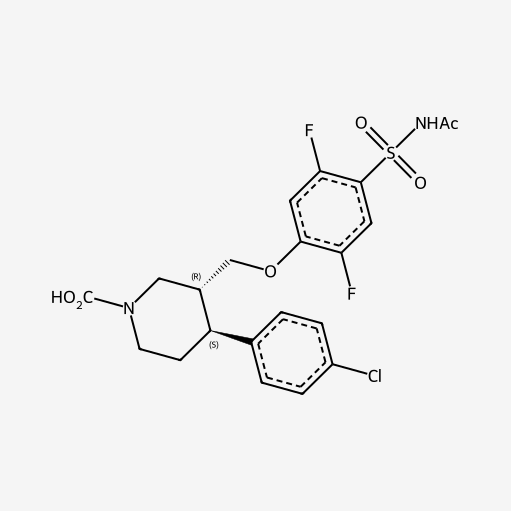 CC(=O)NS(=O)(=O)c1cc(F)c(OC[C@H]2CN(C(=O)O)CC[C@@H]2c2ccc(Cl)cc2)cc1F